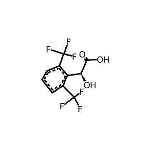 O=C(O)[C@@H](O)c1c(C(F)(F)F)cccc1C(F)(F)F